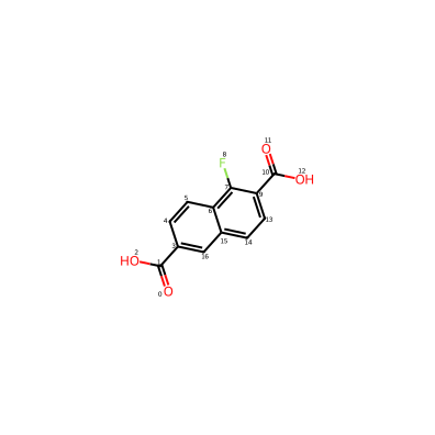 O=C(O)c1ccc2c(F)c(C(=O)O)ccc2c1